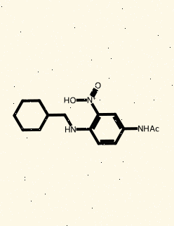 CC(=O)Nc1ccc(NCC2CCCCC2)c([N+](=O)O)c1